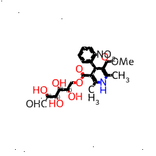 COC(=O)C1=C(C)NC(C)=C(C(=O)OC[C@@H](O)[C@@H](O)[C@H](O)[C@@H](O)C=O)C1c1ccccc1[N+](=O)[O-]